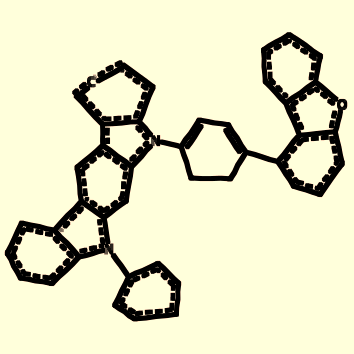 C1=C(c2cccc3oc4ccccc4c23)CCC(n2c3ccccc3c3cc4c5ccccc5n(-c5ccccc5)c4cc32)=C1